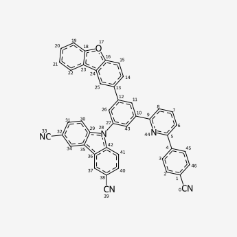 N#Cc1ccc(-c2cccc(-c3cc(-c4ccc5oc6ccccc6c5c4)cc(-n4c5ccc(C#N)cc5c5cc(C#N)ccc54)c3)n2)cc1